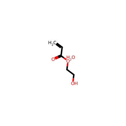 C=CC(=O)OCCO.O